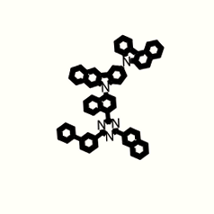 c1ccc(-c2cccc(-c3nc(-c4ccc5ccccc5c4)nc(-c4ccc(-n5c6ccc(-n7c8ccccc8c8c9ccccc9ccc87)cc6c6cc7ccccc7cc65)c5ccccc45)n3)c2)cc1